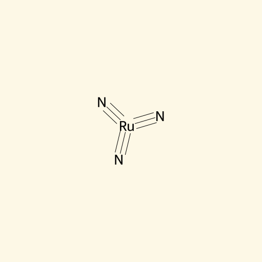 [N]#[Ru](#[N])#[N]